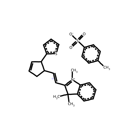 C[N+]1=C(/C=C/C2CC=CC2c2cccs2)C(C)(C)c2ccccc21.Cc1ccc(S(=O)(=O)[O-])cc1